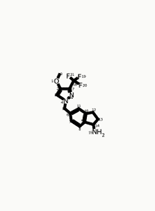 COc1cn(Cc2ccc3c(c2)CCC3N)nc1C(F)(F)F